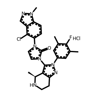 Cc1cc(-n2nc3c(c2-n2ccn(-c4ccc5c(cnn5C)c4Cl)c2=O)[C@H](C)NCC3)cc(C)c1F.Cl